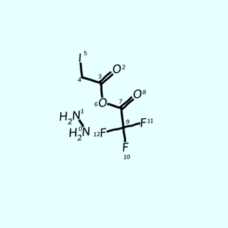 NN.O=C(CI)OC(=O)C(F)(F)F